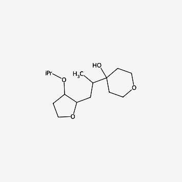 CC(C)OC1CCOC1CC(C)C1(O)CCOCC1